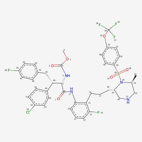 COC(=O)N[C@H](C(=O)Nc1cccc(F)c1CCC[C@H]1CNC[C@H](C)N1S(=O)(=O)c1ccc(OC(F)(F)F)cc1)[C@@H](Cc1ccc(F)cc1)c1ccc(Cl)cc1